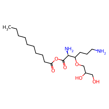 CCCCCCCCCC(=O)OC(=O)[C@@H](N)C(CCCN)OCC(O)CO